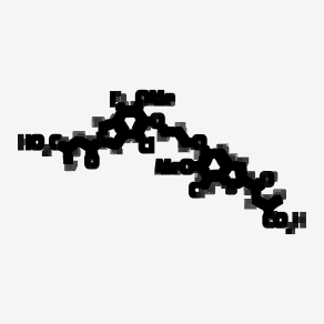 COc1c(F)c2c(c(Cl)c1OCCCOc1cc3cc(C(=O)CC(C)C(=O)O)sc3c(Cl)c1OC)CN(C(=O)CC(C)C(=O)O)C2